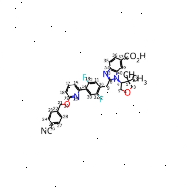 CC1(C)COC[C@H]1n1c(Cc2cc(F)c(-c3cccc(OCc4ccc(C#N)cc4)n3)cc2F)nc2ccc(C(=O)O)cc21